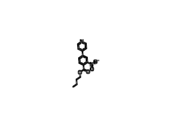 CCCCOC(=O)c1ccc(-c2ccncc2)cc1[N+](=O)[O-]